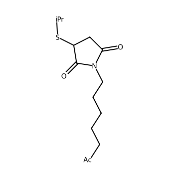 CC(=O)CCCCCN1C(=O)CC(SC(C)C)C1=O